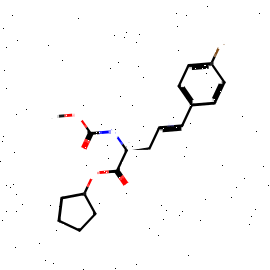 CC(C)(C)OC(=O)N[C@@H](C/C=C/c1ccc(Br)cc1)C(=O)OC1CCCC1